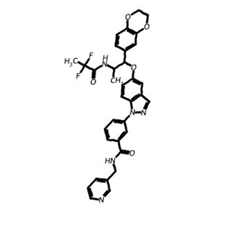 CC(NC(=O)C(C)(F)F)C(Oc1ccc2c(cnn2-c2cccc(C(=O)NCc3cccnc3)c2)c1)c1ccc2c(c1)OCCO2